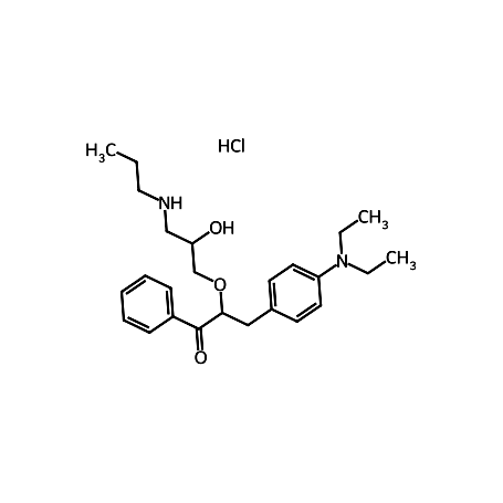 CCCNCC(O)COC(Cc1ccc(N(CC)CC)cc1)C(=O)c1ccccc1.Cl